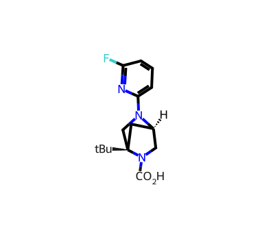 CC(C)(C)[C@@]12C[C@H](CN1C(=O)O)N(c1cccc(F)n1)C2